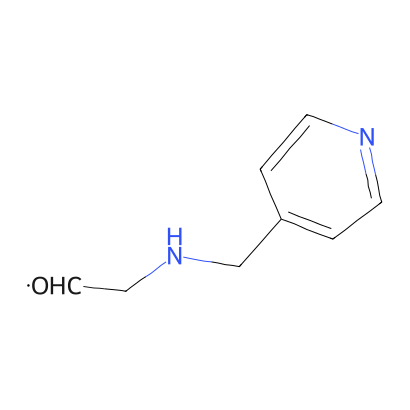 O=[C]CNCc1ccncc1